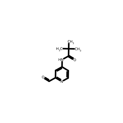 CC(C)(C)C(=O)Nc1ccnc(C=O)c1